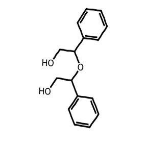 OCC(OC(CO)c1ccccc1)c1ccccc1